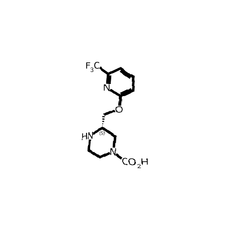 O=C(O)N1CCN[C@H](COc2cccc(C(F)(F)F)n2)C1